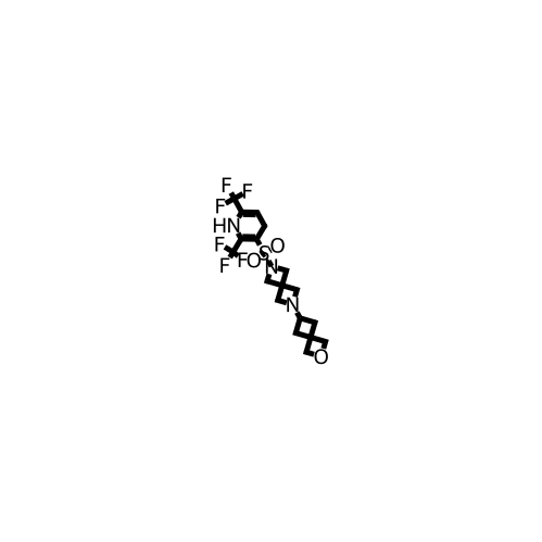 O=S(=O)(C1=C(C(F)(F)F)NC(C(F)(F)F)=CC1)N1CC2(CN(C3CC4(COC4)C3)C2)C1